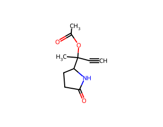 C#CC(C)(OC(C)=O)C1CCC(=O)N1